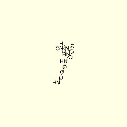 CCCC(C(=O)NC=O)N(C)Cc1c(C=O)cccc1NC(=O)CCNCCOCCOCCOCCNC